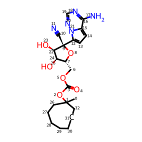 CC1(OC(=O)OC[C@H]2O[C@@](C#N)(c3ccc4c(N)ncnn34)[C@H](O)[C@@H]2O)CCCCCCC1